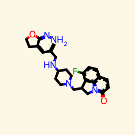 C=C(/C=C1/CCO/C1=N/N)CNC1CCN(CC2Cn3c(=O)ccc4ccc(F)c2c43)CC1